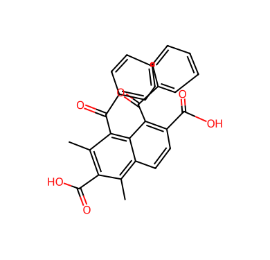 Cc1c(C(=O)O)c(C)c2ccc(C(=O)O)c(C(=O)c3ccccc3)c2c1C(=O)c1ccccc1